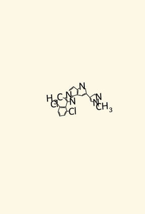 Cc1c(-c2c(Cl)cccc2Cl)nc2c3cc(-c4cnn(C)c4)cnc3ccn12